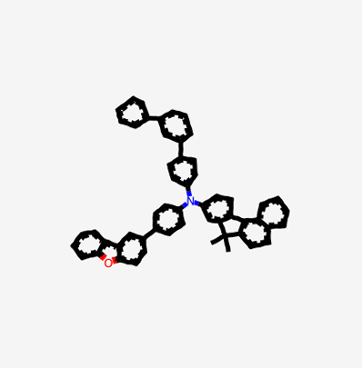 CC1(C)c2cc(N(c3ccc(-c4cccc(-c5ccccc5)c4)cc3)c3ccc(-c4ccc5oc6ccccc6c5c4)cc3)ccc2-c2c1ccc1ccccc21